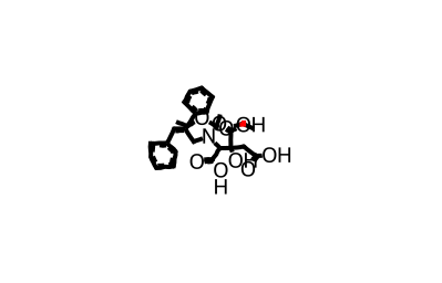 CCOC(C)(OCC)N(CC(=Cc1ccccc1)c1ccccc1)C(C(=O)O)C(O)(CC(=O)O)C(=O)O